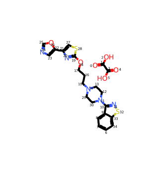 O=C(O)C(=O)O.c1ccc2c(N3CCN(CCCOc4nc(-c5cnco5)cs4)CC3)nsc2c1